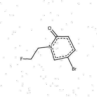 O=c1ccc(Br)cn1CCF